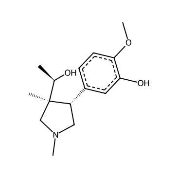 COc1ccc([C@@H]2CN(C)C[C@@]2(C)[C@@H](C)O)cc1O